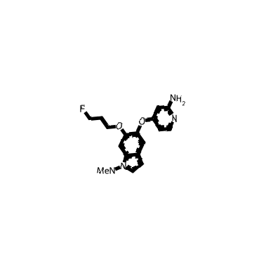 CNn1ccc2cc(Oc3ccnc(N)c3)c(OCCCF)cc21